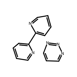 c1ccc(-c2ccccn2)nc1.c1cnnnc1